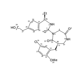 CC[C@@H](NC(=O)N1CC(=O)NC[C@@H](Cc2cc(Cl)ccc2OC)C1=O)c1ccc(CC(=O)O)cc1